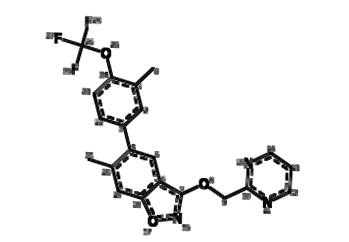 Cc1cc(-c2cc3c(OCc4ncccn4)noc3cc2C)ccc1OC(F)(F)F